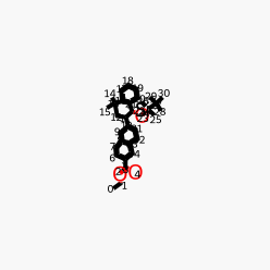 CCOC(=O)c1ccc2cc(C3CC(C)(C)c4ccccc4C3O[Si](C)(C)C(C)(C)C)ccc2c1